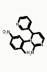 Cc1ccc([N+](=O)[O-])cc1N1C(N)=NC=CC1c1cccnc1